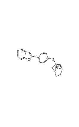 CN1C2CCC1CC(Sc1ccc(-c3cc4ccccc4o3)cc1)C2